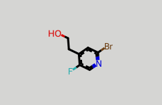 OCCc1cc(Br)ncc1F